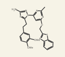 COc1ccc(CCc2nc(N)nn2-c2cc(OCc3nc4ccccc4s3)nc(C)n2)cc1OC